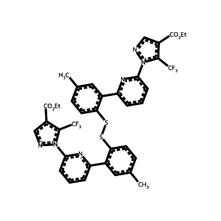 CCOC(=O)c1cnn(-c2cccc(-c3cc(C)ccc3SSc3ccc(C)cc3-c3cccc(-n4ncc(C(=O)OCC)c4C(F)(F)F)n3)n2)c1C(F)(F)F